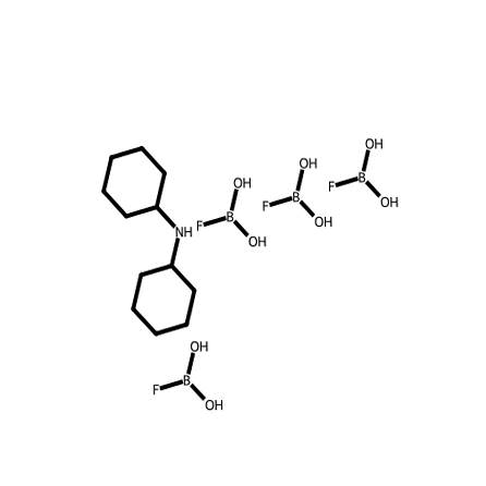 C1CCC(NC2CCCCC2)CC1.OB(O)F.OB(O)F.OB(O)F.OB(O)F